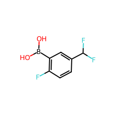 OB(O)c1cc(C(F)F)ccc1F